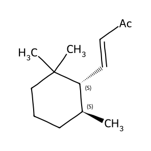 CC(=O)C=C[C@@H]1[C@@H](C)CCCC1(C)C